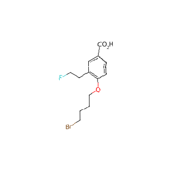 O=C(O)c1ccc(OCCCCBr)c(CCF)c1